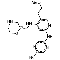 COCCc1nnc(Nc2cnc(C#N)cn2)cc1NC[C@H]1CNCCO1